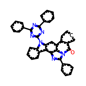 O=c1c2ccccc2c2cc3c(c4ccccc4n3-c3nc(-c4ccccc4)nc(-c4ccccc4)n3)c3nc(-c4ccccc4)n1c23